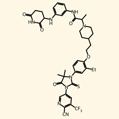 CCc1cc(N2C(=S)N(c3cnc(C#N)c(C(F)(F)F)c3)C(=O)C2(C)C)ccc1OCCC1CCN(C(C)C(=O)Nc2cccc(NC3CCC(=O)NC3=O)c2)CC1